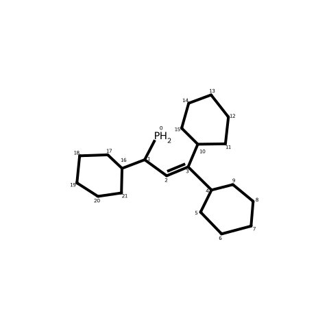 PC(C=C(C1CCCCC1)C1CCCCC1)C1CCCCC1